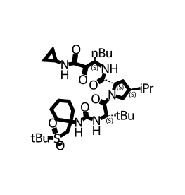 CCCC[C@H](NC(=O)[C@@H]1C[C@@H](C(C)C)CN1C(=O)[C@@H](NC(=O)NC1(CS(=O)(=O)C(C)(C)C)CCCCC1)C(C)(C)C)C(=O)C(=O)NC1CC1